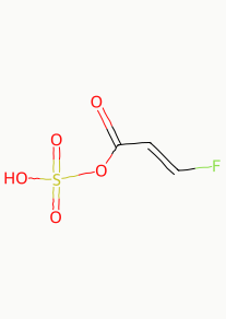 O=C(C=CF)OS(=O)(=O)O